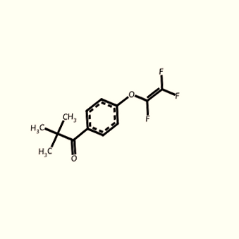 CC(C)(C)C(=O)c1ccc(OC(F)=C(F)F)cc1